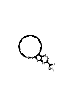 NC(=O)c1nsc2c3ccccccccccccccnnc3nc-2n1